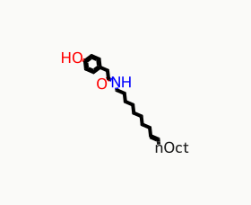 CCCCCCCCC=CCCCCCCCCNC(=O)Cc1ccc(O)cc1